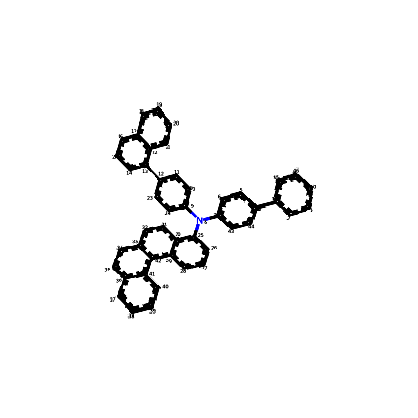 c1ccc(-c2ccc(N(c3ccc(-c4cccc5ccccc45)cc3)c3cccc4c3ccc3ccc5ccccc5c34)cc2)cc1